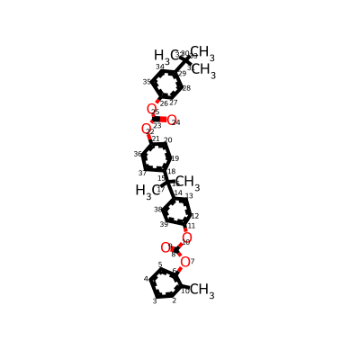 Cc1ccccc1OC(=O)Oc1ccc(C(C)(C)c2ccc(OC(=O)Oc3ccc(C(C)(C)C)cc3)cc2)cc1